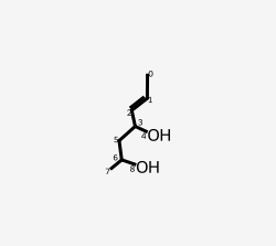 CC=CC(O)CC(C)O